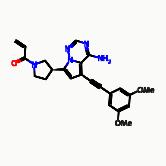 C=CC(=O)N1CC[C@H](c2cc(C#Cc3cc(OC)cc(OC)c3)c3c(N)ncnn23)C1